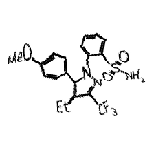 CCc1c(C(F)(F)F)nn(-c2ccccc2S(N)(=O)=O)c1-c1ccc(OC)cc1